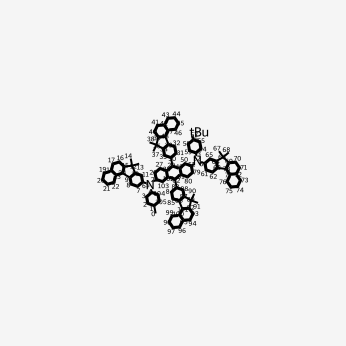 Cc1ccc(N(c2ccc3c(c2)C(C)(C)c2ccc4ccccc4c2-3)c2ccc3c(-c4ccc5c(c4)C(C)(C)c4ccc6ccccc6c4-5)c4cc(N(c5ccc(C(C)(C)C)cc5)c5ccc6c(c5)C(C)(C)c5ccc7ccccc7c5-6)ccc4c(-c4ccc5c(c4)C(C)(C)c4ccc6ccccc6c4-5)c3c2)cc1